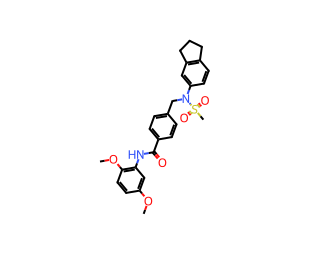 COc1ccc(OC)c(NC(=O)c2ccc(CN(c3ccc4c(c3)CCC4)S(C)(=O)=O)cc2)c1